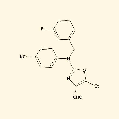 CCc1oc(N(Cc2cccc(F)c2)c2ccc(C#N)cc2)nc1C=O